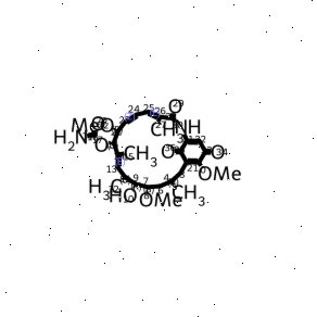 COC1=C2C[C@@H](C)C[C@H](OC)[C@H](O)[C@@H](C)/C=C(\C)[C@H](OC(N)=O)[C@H](OC)/C=C\C=C(/C)C(=O)NC(=CC1=O)C2=O